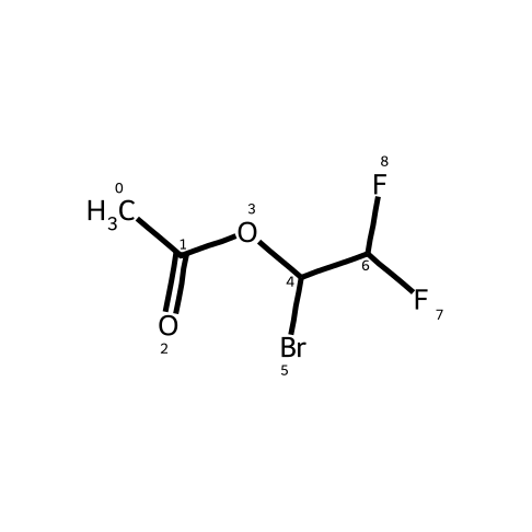 CC(=O)OC(Br)C(F)F